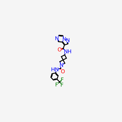 O=C(NC1CC2(C1)CN(C(=O)Nc1cccc(C(F)(F)F)c1)C2)c1cnn2ccncc12